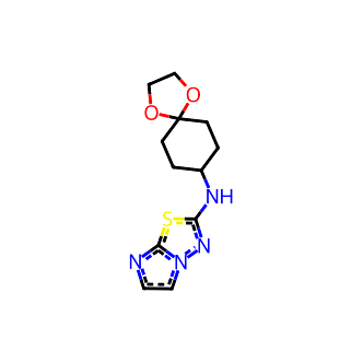 c1cn2nc(NC3CCC4(CC3)OCCO4)sc2n1